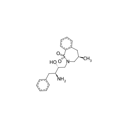 C[C@@H]1Cc2ccccc2S(=O)(=O)N(C[C@@H](O)[C@@H](N)Cc2ccccc2)C1